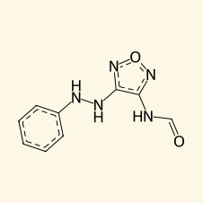 O=CNc1nonc1NNc1ccccc1